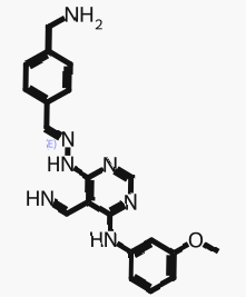 COc1cccc(Nc2ncnc(N/N=C/c3ccc(CN)cc3)c2C=N)c1